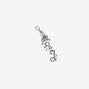 CC[C@@H](Oc1ccc(C(=O)NS(=O)(=O)N2CCN(C3CCCCC3)CC2)c(F)c1F)c1ccc(Oc2ccccn2)cn1